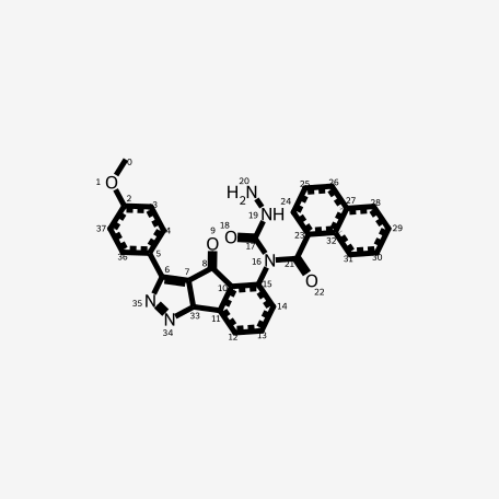 COc1ccc(C2=C3C(=O)c4c(cccc4N(C(=O)NN)C(=O)c4cccc5ccccc45)C3N=N2)cc1